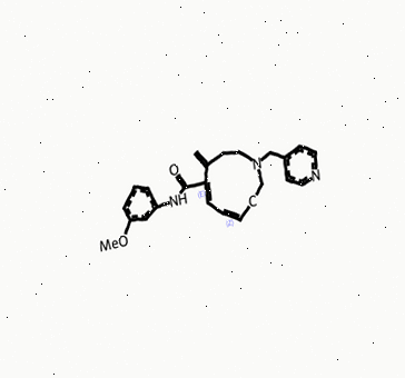 C=C1CCN(Cc2ccncc2)CC/C=C\C=C/1C(=O)Nc1cccc(OC)c1